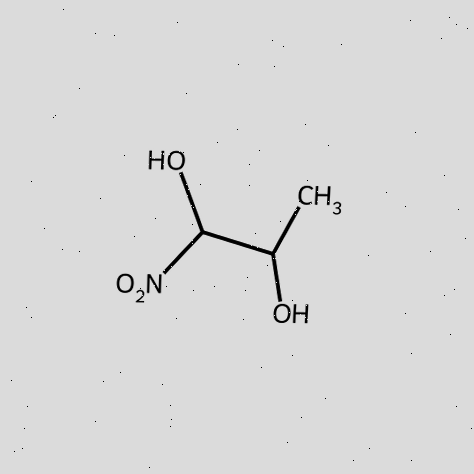 CC(O)C(O)[N+](=O)[O-]